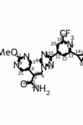 COc1ncc(/C(=C\n2cnc(-c3cc(C4CC4)nc(C(F)(F)F)c3)n2)C(N)=O)cn1